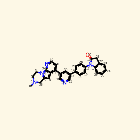 CN1CCn2c(cc3c(-c4cncc(-c5ccc(N6C(=O)Cc7ccccc76)cc5)c4)ccnc32)C1